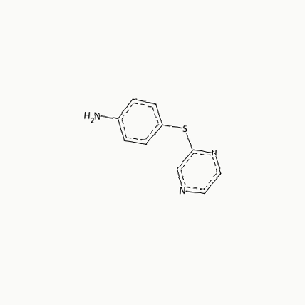 Nc1ccc(Sc2cnccn2)cc1